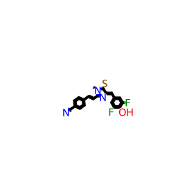 CN1C(=S)/C(=C/c2cc(F)c(O)c(F)c2)N=C1/C=C/c1ccc(C#N)cc1